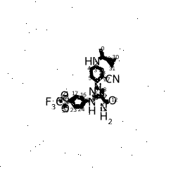 CC(N[C@@H]1CC[C@H](n2cc(C(N)=O)c(Nc3ccc(S(=O)(=O)C(F)(F)F)cc3)n2)[C@@H](C#N)C1)C1CC1